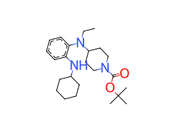 CCN(c1ccccc1NC1CCCCC1)C1CCN(C(=O)OC(C)(C)C)CC1